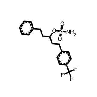 NS(=O)(=O)OC(CCc1ccccc1)CCc1ccc(C(F)(F)F)cc1